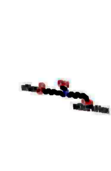 CCCCCCCCCOC(=O)CCCCCCCN(CCO)CCCCC/C=C\C(=O)OC(CCCCCC)CCCCCCCC